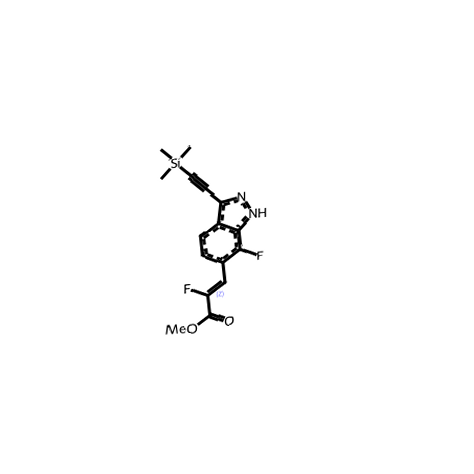 COC(=O)/C(F)=C/c1ccc2c(C#C[Si](C)(C)C)n[nH]c2c1F